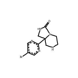 O=C1NCC2(c3ncc(Br)cn3)CNCCN12